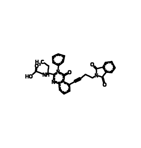 CCC(NC(=O)O)c1nc2cccc(C#CCCN3C(=O)c4ccccc4C3=O)c2c(=O)n1-c1ccccc1